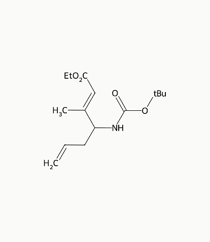 C=CCC(NC(=O)OC(C)(C)C)C(C)=CC(=O)OCC